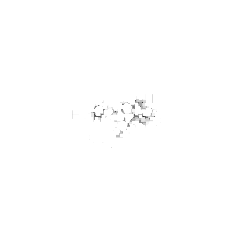 Cc1cc(C(=O)O)cc(C)c1-c1c(C=Cc2ccc(O)cc2)ccc2c1c(C(=O)[O-])c1ccccc1[n+]2C